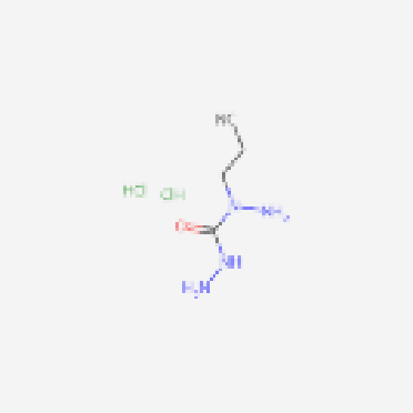 Cl.Cl.N#CCCN(N)C(=O)NN